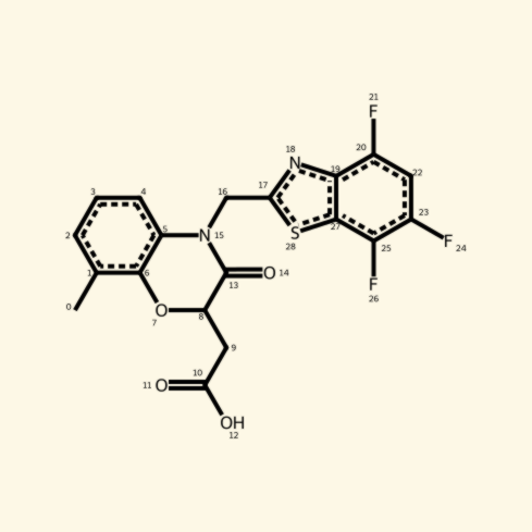 Cc1cccc2c1OC(CC(=O)O)C(=O)N2Cc1nc2c(F)cc(F)c(F)c2s1